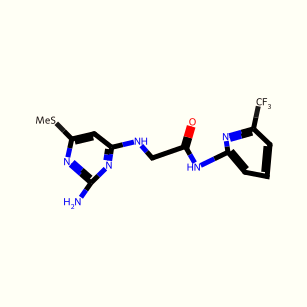 CSc1cc(NCC(=O)Nc2cccc(C(F)(F)F)n2)nc(N)n1